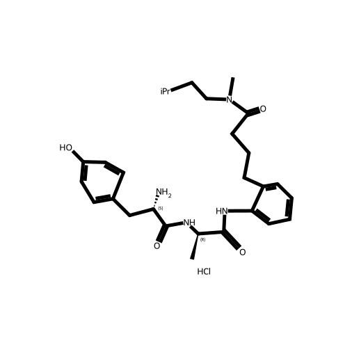 CC(C)CCN(C)C(=O)CCCc1ccccc1NC(=O)[C@@H](C)NC(=O)[C@@H](N)Cc1ccc(O)cc1.Cl